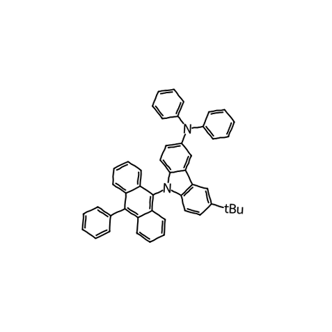 CC(C)(C)c1ccc2c(c1)c1cc(N(c3ccccc3)c3ccccc3)ccc1n2-c1c2ccccc2c(-c2ccccc2)c2ccccc12